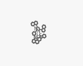 C1=C(c2cccc3ccccc23)NC(c2cccc(-n3c4cccc5ccc6cc7c8ccccc8sc7c3c6c54)c2)N=C1c1cccc2ccccc12